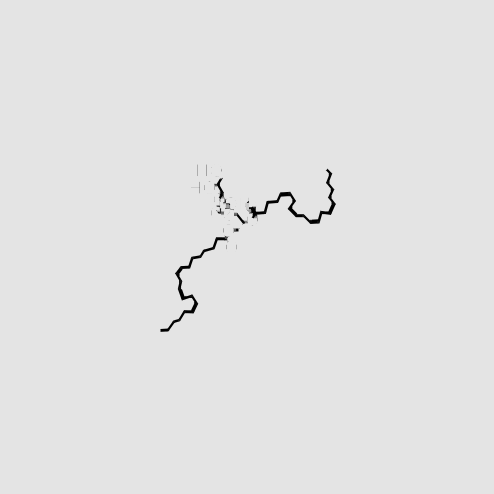 CCCCC/C=C\C/C=C\C/C=C\C/C=C\CCCC(=O)O[C@H](COC(=O)CCCCCC/C=C\C/C=C\C/C=C\CCCCC)COP(=O)(O)OC[C@@H](O)CO